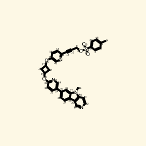 Cc1ccc(S(=O)(=O)OCC#Cc2ccc(OC3CC(Oc4ccc(-c5ccc6c7cnccc7n(C)c6c5)cn4)C3)cn2)cc1